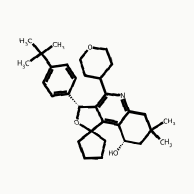 CC1(C)Cc2nc(C3CCOCC3)c3c(c2[C@@H](O)C1)C1(CCCC1)O[C@@H]3c1ccc(C(C)(C)C)cc1